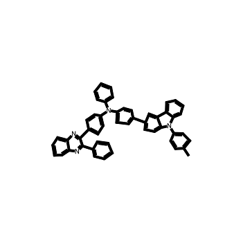 Cc1ccc(-n2c3ccccc3c3cc(-c4ccc(N(c5ccccc5)c5ccc(-c6nc7ccccc7nc6-c6ccccc6)cc5)cc4)ccc32)cc1